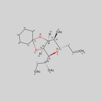 C=CC[C@@H]1O[C@@H]([C@@H](COC(C)=O)OC(C)=O)[C@H]2OC3(CCCCC3)O[C@H]2[C@H]1OC(C)=O